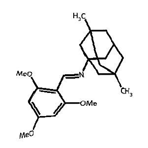 COc1cc(OC)c(C=NC23CC4CC(C)(CC(C)(C4)C2)C3)c(OC)c1